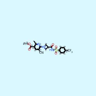 Cc1nc(N2CC(C(=O)NS(=O)(=O)c3ccc(C(F)(F)F)cc3)C2)c(C#N)cc1C(=O)OC(C)C